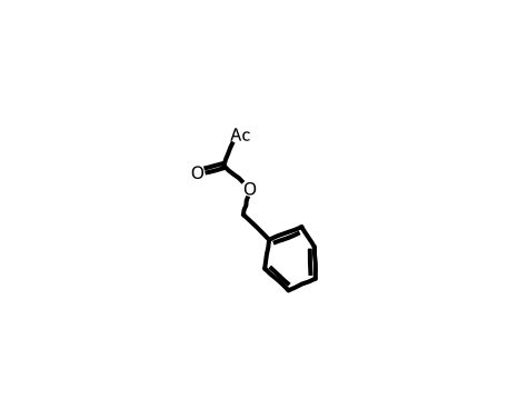 CC(=O)C(=O)OCc1ccccc1